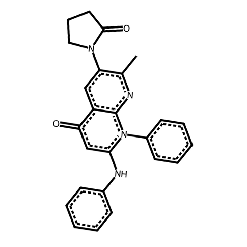 Cc1nc2c(cc1N1CCCC1=O)c(=O)cc(Nc1ccccc1)n2-c1ccccc1